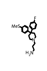 CSc1ccc(C2(c3ccc(F)cc3)CCN(CCCN)CC2)cc1